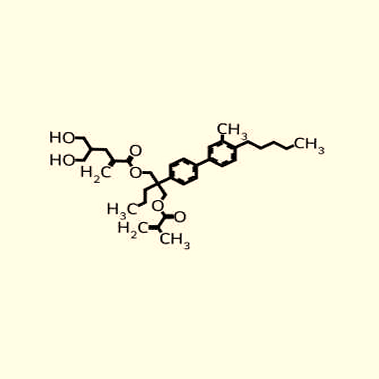 C=C(C)C(=O)OCC(CCC)(COC(=O)C(=C)CC(CO)CO)c1ccc(-c2ccc(CCCCC)c(C)c2)cc1